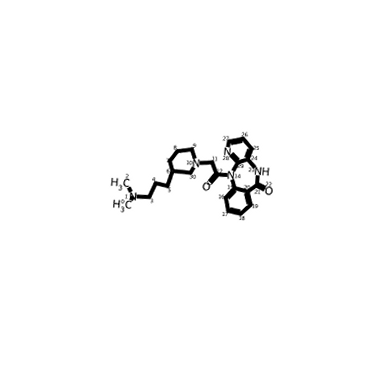 CN(C)CCCC1CCCN(CC(=O)N2c3ccccc3C(=O)Nc3cccnc32)C1